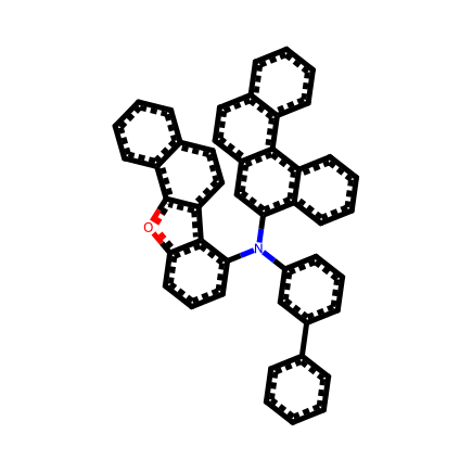 c1ccc(-c2cccc(N(c3cc4ccc5ccccc5c4c4ccccc34)c3cccc4oc5c6ccccc6ccc5c34)c2)cc1